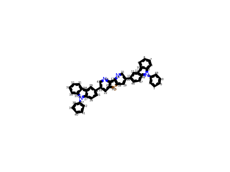 c1ccc(-n2c3ccccc3c3cc(-c4cnc5c(c4)sc4cc(-c6ccc7c(c6)c6ccccc6n7-c6ccccc6)cnc45)ccc32)cc1